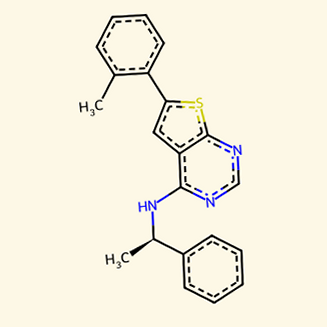 Cc1ccccc1-c1cc2c(N[C@H](C)c3ccccc3)ncnc2s1